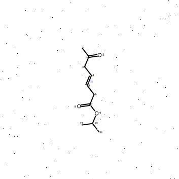 CC(=O)C/C=C/CC(=O)OC(C)C